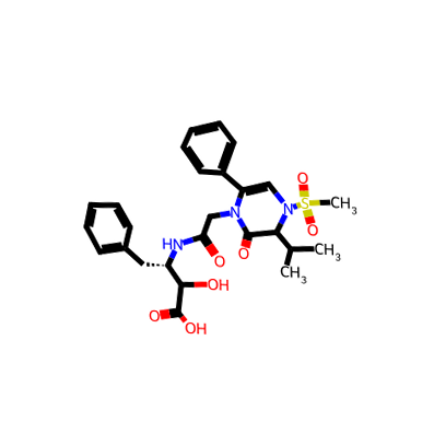 CC(C)C1C(=O)N(CC(=O)N[C@@H](Cc2ccccc2)C(O)C(=O)O)C(c2ccccc2)=CN1S(C)(=O)=O